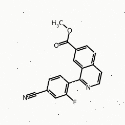 COC(=O)c1ccc2ccnc(-c3ccc(C#N)cc3F)c2c1